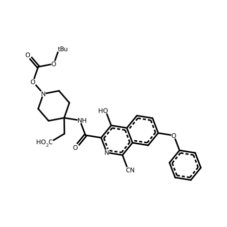 CC(C)(C)OC(=O)ON1CCC(CC(=O)O)(NC(=O)c2nc(C#N)c3cc(Oc4ccccc4)ccc3c2O)CC1